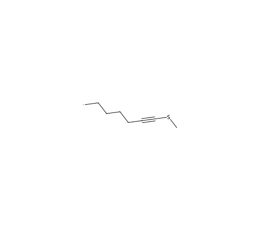 [CH2]CCCCC#CSC